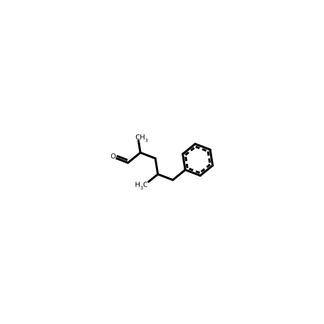 CC(C=O)CC(C)Cc1ccccc1